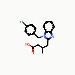 CC(CC(=O)O)Cc1nc2ccccc2n1Cc1ccc(Cl)cc1